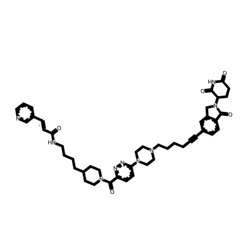 O=C(/C=C/c1cccnc1)NCCCCC1CCN(C(=O)c2ccc(N3CCN(CCCCC#Cc4ccc5c(c4)CN(C4CCC(=O)NC4=O)C5=O)CC3)nn2)CC1